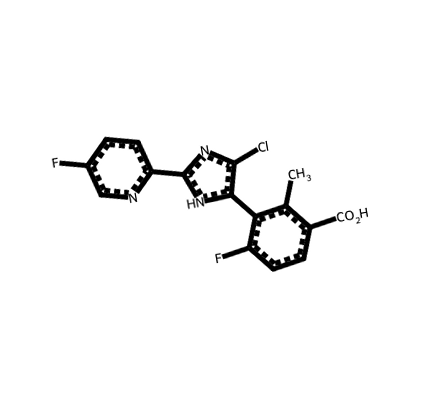 Cc1c(C(=O)O)ccc(F)c1-c1[nH]c(-c2ccc(F)cn2)nc1Cl